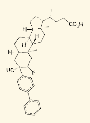 C[C@H](CCC(=O)O)[C@H]1CC[C@H]2[C@@H]3CC[C@@H]4C[C@](O)(c5ccc(-c6ccccc6)cc5)C(F)C[C@]4(C)[C@H]3CC[C@]12C